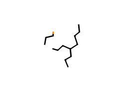 CCCCC(CCC)CCC.CCCP